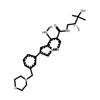 CC(C)Nc1c(C(=O)NC[C@@H](F)C(C)(C)O)cnn2cc(-c3cccc(CN4CCOCC4)c3)cc12